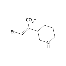 CCC=C(C(=O)O)C1CCCNC1